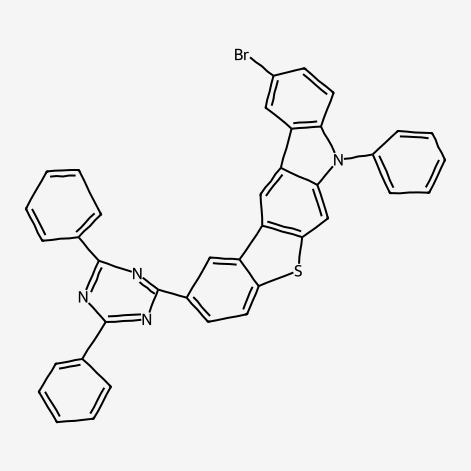 Brc1ccc2c(c1)c1cc3c(cc1n2-c1ccccc1)sc1ccc(-c2nc(-c4ccccc4)nc(-c4ccccc4)n2)cc13